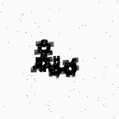 Cc1cccc(C2C=CN(c3cc(N4CCOCC4)nc(C)n3)N2)c1